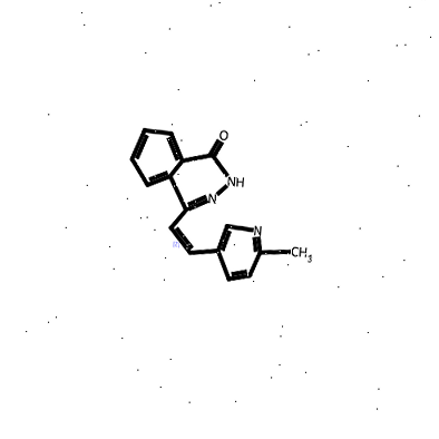 Cc1ccc(/C=C\c2n[nH]c(=O)c3ccccc23)cn1